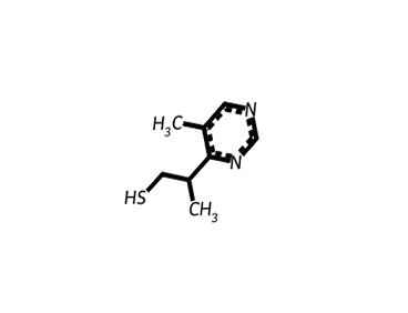 Cc1cncnc1C(C)CS